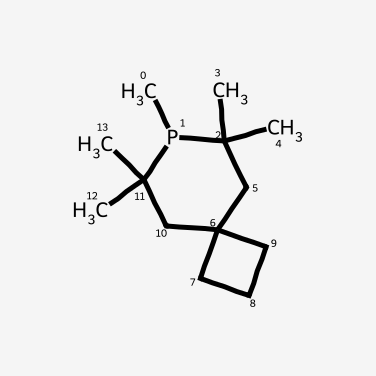 CP1C(C)(C)CC2(CCC2)CC1(C)C